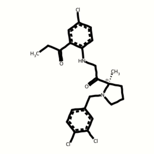 CCC(=O)c1cc(Cl)ccc1NCC(=O)[C@@]1(C)CCCN1Cc1ccc(Cl)c(Cl)c1